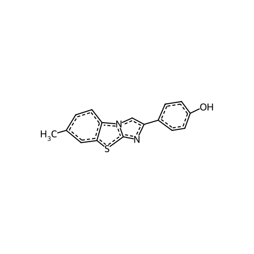 Cc1ccc2c(c1)sc1nc(-c3ccc(O)cc3)cn12